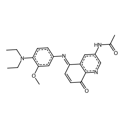 CCN(CC)c1ccc(N=C2C=CC(=O)c3ncc(NC(C)=O)cc32)cc1OC